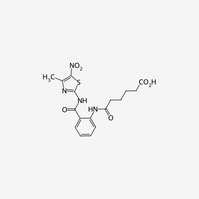 Cc1nc(NC(=O)c2ccccc2NC(=O)CCCCC(=O)O)sc1[N+](=O)[O-]